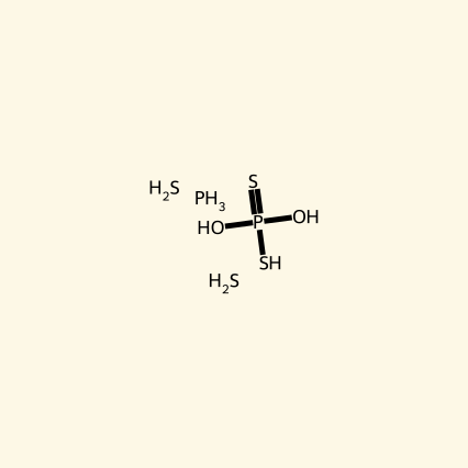 OP(O)(=S)S.P.S.S